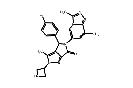 Cc1cc(N2C(=O)c3nn(C4CNC4)c(C)c3C2c2ccc(Cl)cc2)cn2c(C)nnc12